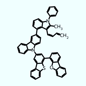 C=C/C=C\c1c(C)n(-c2ccccc2)c2cccc(-c3ccc4c(c3)c3ccccc3n4-c3cc(-c4cccc5c4oc4ccccc45)c4sc5ccccc5c4c3)c12